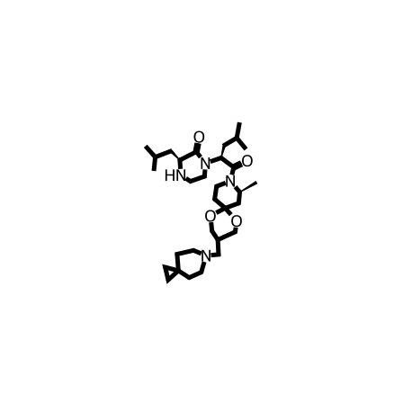 CC(C)C[C@@H]1NCCN([C@@H](CC(C)C)C(=O)N2CCC3(C[C@@H]2C)OCC(CN2CCC4(CC2)CC4)CO3)C1=O